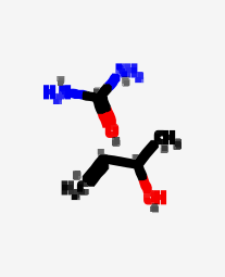 C=CC(C)O.NC(N)=O